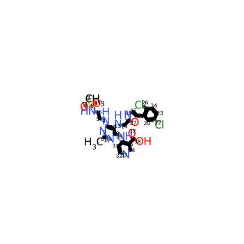 Cc1nc(NCCNS(C)(=O)=O)c(NCc2ncc(-c3cc(Cl)ccc3Cl)o2)c(Nc2ccncc2C(=O)O)n1